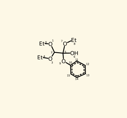 CCOC(OCC)C(O)(OCC)Oc1ccccc1